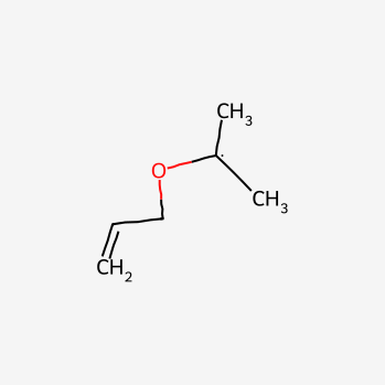 C=CCO[C](C)C